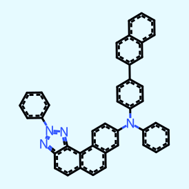 c1ccc(N(c2ccc(-c3ccc4ccccc4c3)cc2)c2ccc3c(ccc4ccc5nn(-c6ccccc6)nc5c43)c2)cc1